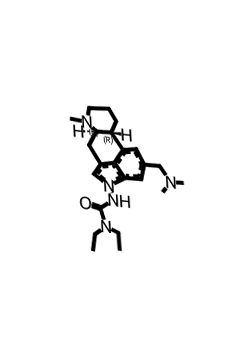 CCN(CC)C(=O)Nn1cc2c3c(cc(CN(C)C)cc31)[C@H]1CCCN(C)[C@@H]1C2